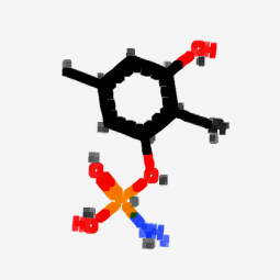 Cc1cc(O)c(C(C)C)c(OP(N)(=O)O)c1